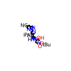 CC(C)[AsH]c1cc(-n2ncc3cc(C#N)cnc32)ncc1-c1cn(C2CCN(C(=O)OC(C)(C)C)CC2O)nn1